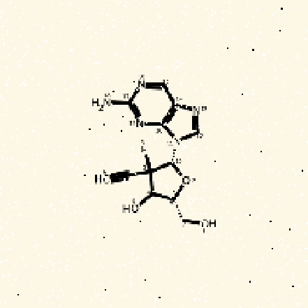 C#CC1(F)C(O)[C@@H](CO)O[C@H]1n1cnc2cnc(N)nc21